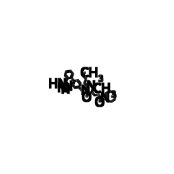 CCCCc1nc(C)c(CCC(=O)N2CCCCCCC2)c(=O)n1Cc1ccc(-c2ccccc2-c2nnn[nH]2)cc1